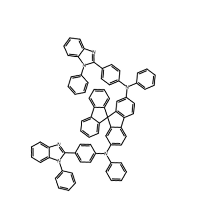 c1ccc(N(c2ccc(-c3nc4ccccc4n3-c3ccccc3)cc2)c2ccc3c(c2)C2(c4ccccc4-c4ccccc42)c2cc(N(c4ccccc4)c4ccc(-c5nc6ccccc6n5-c5ccccc5)cc4)ccc2-3)cc1